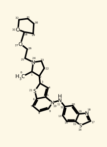 CC1C(C2C=C3C(=CC=CN3Nc3ccc4scnc4c3)S2)CCN1CCOC1CCCCO1